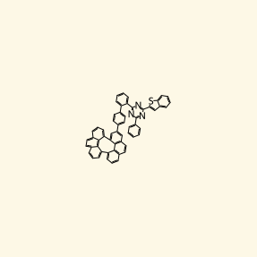 c1ccc(-c2nc(-c3cc4ccccc4s3)nc(-c3ccccc3-c3ccc(-c4cc5ccc6cccc7c8cccc9ccc%10cccc(c(c4)c5c67)c%10c98)cc3)n2)cc1